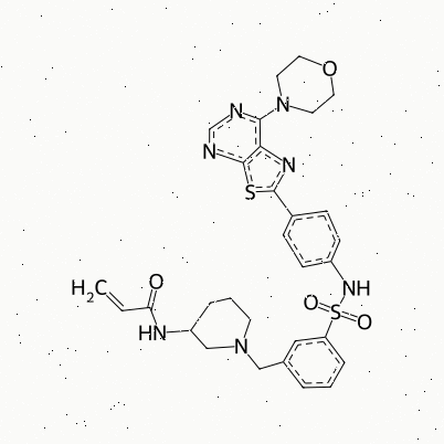 C=CC(=O)NC1CCCN(Cc2cccc(S(=O)(=O)Nc3ccc(-c4nc5c(N6CCOCC6)ncnc5s4)cc3)c2)C1